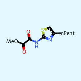 CCCCCc1csc(NC(=O)C(=O)OC)n1